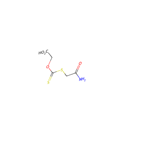 NC(=O)CSC(=S)OCC(=O)O